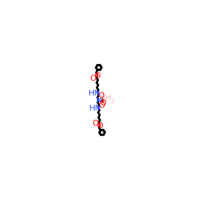 BC(=O)N(CC(=O)NCCCCCC(=O)OCc1ccccc1)CC(=O)NCCCCCC(=O)OCc1ccccc1